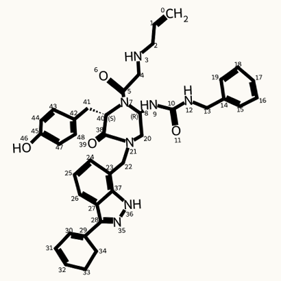 C=CCNCC(=O)N1[C@@H](NC(=O)NCc2ccccc2)CN(Cc2cccc3c(C4=CC=CCC4)n[nH]c23)C(=O)[C@@H]1Cc1ccc(O)cc1